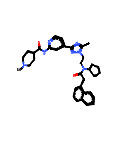 CCN1CCC(C(=O)Nc2cc(-c3nc(C)n(CCN(C(=O)Cc4cccc5ccccc45)C4CCCC4)n3)ccn2)CC1